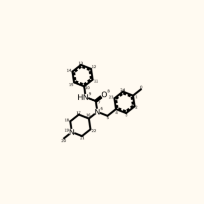 Cc1ccc(CN(C(=O)Nc2ccccc2)C2CCN(C)CC2)cc1